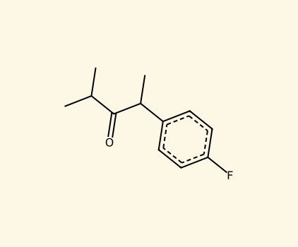 CC(C)C(=O)C(C)c1ccc(F)cc1